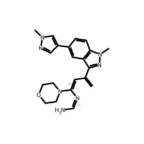 C=C(/C=C(\N=C/N)N1CCOCC1)c1nn(C)c2ccc(-c3cnn(C)c3)cc12